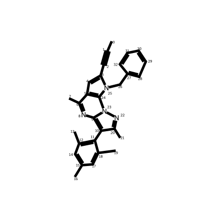 CC#Cc1cc2c(C)nc3c(-c4c(C)cc(C)cc4C)c(C)nn3c2n1Cc1ccccc1